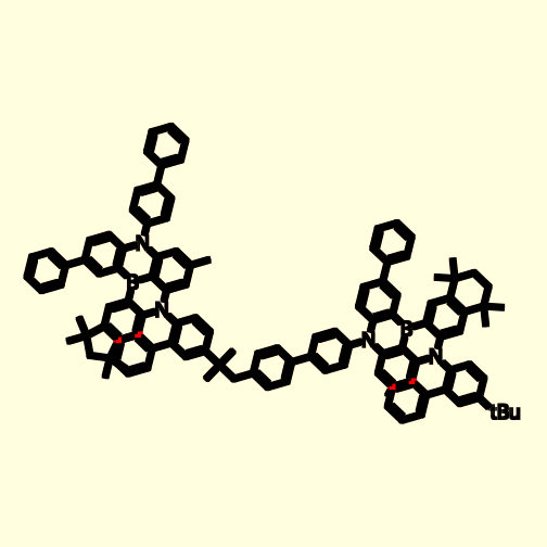 Cc1cc2c3c(c1)N(c1ccc(C(C)(C)C)cc1-c1ccccc1)c1cc4c(cc1B3c1cc(-c3ccccc3)ccc1N2c1ccc(-c2ccc(CC(C)(C)c3ccc(N5c6cc7c(cc6B6c8cc(-c9ccccc9)ccc8N(c8ccc(-c9ccccc9)cc8)c8cc(C)cc5c86)C(C)(C)CC7(C)C)c(-c5ccccc5)c3)cc2)cc1)C(C)(C)CCC4(C)C